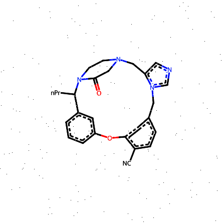 CCCC1c2cccc(c2)Oc2cc(ccc2C#N)Cn2cncc2CN2CCN1C(=O)C2